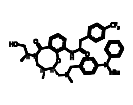 CCCCN(c1ccccc1)c1ccc(CN(C)C[C@H]2Oc3c(NC(=O)Cc4ccc(C(F)(F)F)cc4)cccc3C(=O)N([C@@H](C)CO)C[C@H]2C)cc1